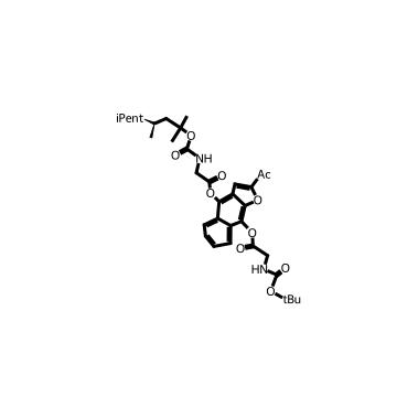 CCC[C@H](C)[C@H](C)CC(C)(C)OC(=O)NCC(=O)Oc1c2ccccc2c(OC(=O)CNC(=O)OC(C)(C)C)c2oc(C(C)=O)cc12